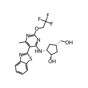 Cc1nc(OCC(F)(F)F)nc(N[C@@H]2C[C@H](CO)C[C@H]2O)c1-c1nc2ccccc2s1